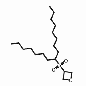 CCCCCCCCC(CCCCCCC)S(=O)(=O)C1COC1